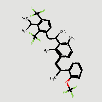 Cc1ccc(CC(C)c2ccccc2OC(F)(F)F)c(C)c1C(C)Cc1ccc(C(F)(F)F)c(C(C)C)c1C(F)(F)F